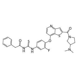 CN(C)C1CCN(C(=O)c2cc3nccc(Oc4ccc(NC(=S)NC(=O)Cc5ccccc5)cc4F)c3s2)C1